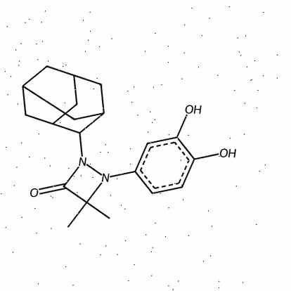 CC1(C)C(=O)N(C2C3CC4CC(C3)CC2C4)N1c1ccc(O)c(O)c1